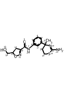 CC1(c2cccc(NC(=O)C3=NOC(CO)C3)c2)CCSC(N)=N1